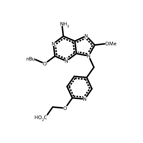 CCCCOc1nc(N)c2nc(OC)n(Cc3ccc(OCC(=O)O)nc3)c2n1